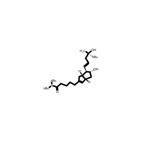 CCCCN(CCCC)C(=O)CCCCC1=C[C@H]2C[C@@H](O)[C@H](/C=C/C[C@@](C)(O)CCCC)[C@H]2C1